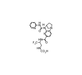 O=C(O)NCC(NC(=O)c1ccc2c(n1)N(C(=O)Nc1ccccn1)[C@H]1CCN2C1)C(F)(F)F